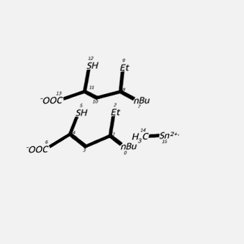 CCCCC(CC)CC(S)C(=O)[O-].CCCCC(CC)CC(S)C(=O)[O-].[CH3][Sn+2]